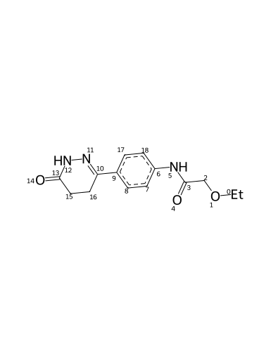 CCOCC(=O)Nc1ccc(C2=NNC(=O)CC2)cc1